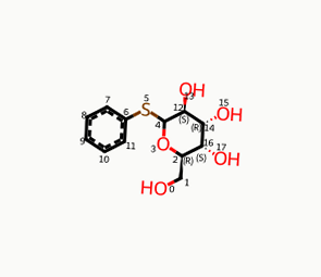 OC[C@H]1OC(Sc2ccccc2)[C@@H](O)[C@H](O)[C@@H]1O